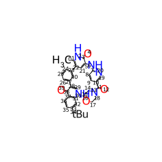 Cc1[nH]c(=O)c(Nc2ccc(C(=O)N3CCOCC3)cn2)cc1-c1cccc(-c2c[nH]c3cc(C(C)(C)C)ccc3c2=O)c1